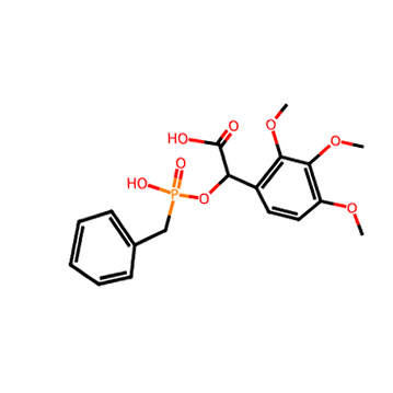 COc1ccc(C(OP(=O)(O)Cc2ccccc2)C(=O)O)c(OC)c1OC